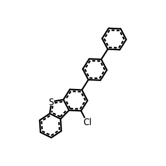 Clc1cc(-c2ccc(-c3ccccc3)cc2)cc2sc3ccccc3c12